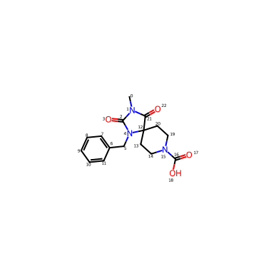 CN1C(=O)N(Cc2ccccc2)C2(CCN(C(=O)O)CC2)C1=O